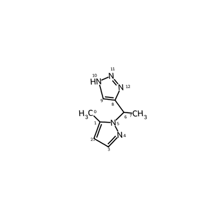 Cc1[c]cnn1C(C)c1c[nH]nn1